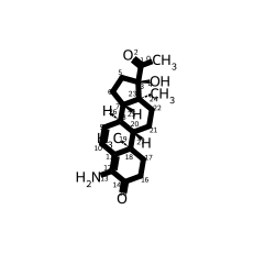 CC(=O)[C@@]1(O)CC[C@H]2[C@@H]3C=CC4=C(N)C(=O)CC[C@]4(C)[C@H]3CC[C@@]21C